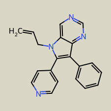 C=CCn1c(-c2ccncc2)c(-c2ccccc2)c2ncncc21